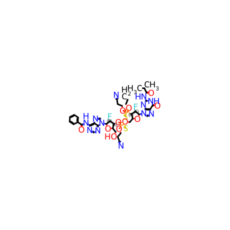 C=CCOP(=S)(OCCC#N)[C@@H]1C(COP(=S)(OCCC#N)O[C@@H]2C(CO)OC(n3cnc4c(NC(=O)c5ccccc5)ncnc43)[C@@H]2F)OC(n2cnc3c(=O)[nH]c(NC(=O)C(C)C)nc32)[C@@H]1F